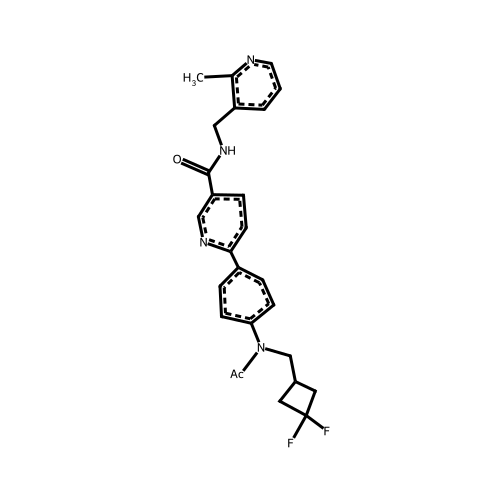 CC(=O)N(CC1CC(F)(F)C1)c1ccc(-c2ccc(C(=O)NCc3cccnc3C)cn2)cc1